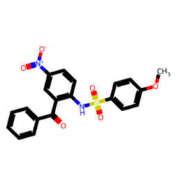 COc1ccc(S(=O)(=O)Nc2ccc([N+](=O)[O-])cc2C(=O)c2ccccc2)cc1